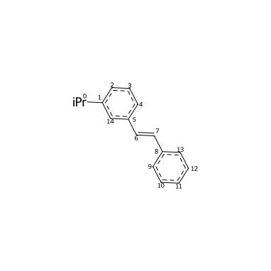 CC(C)c1cccc(/C=C/c2ccccc2)c1